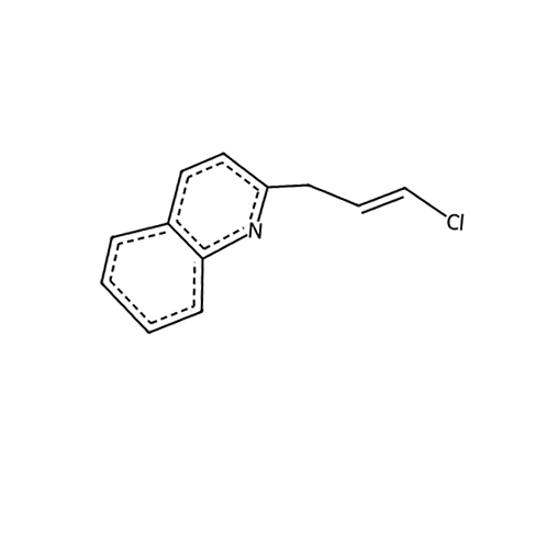 ClC=CCc1ccc2ccccc2n1